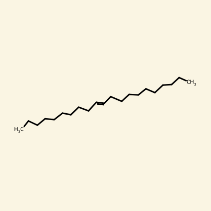 CCCCCCCCCC=CCCCCCCCCCC